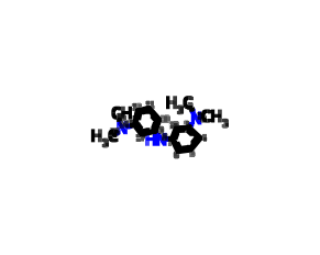 CN(C)c1cccc(Nc2cccc(N(C)C)c2)c1